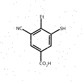 CCc1c(S)cc(C(=O)O)cc1C#N